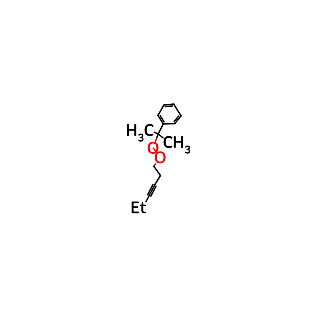 CCC#CCCOOC(C)(C)c1ccccc1